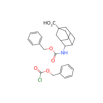 O=C(Cl)OCc1ccccc1.O=C(NC1C2CC3CC1CC(C(=O)O)(C3)C2)OCc1ccccc1